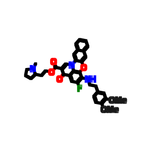 COc1ccc(CCNc2c(F)cc3c(=O)c(C(=O)OCCC4CCCN4C)cn4c3c2Oc2cc3ccccc3cc2-4)cc1OC